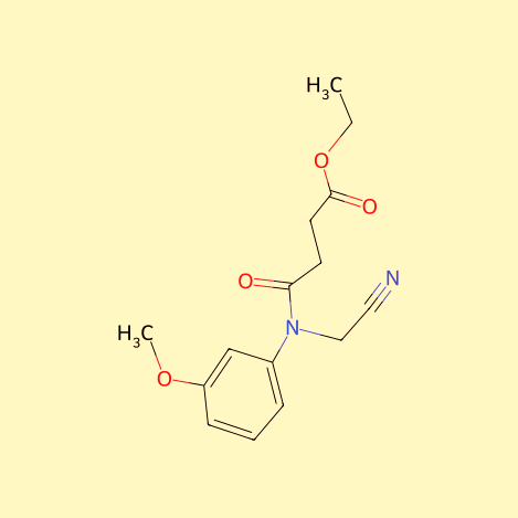 CCOC(=O)CCC(=O)N(CC#N)c1cccc(OC)c1